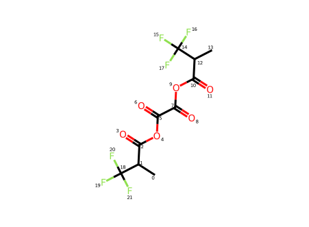 CC(C(=O)OC(=O)C(=O)OC(=O)C(C)C(F)(F)F)C(F)(F)F